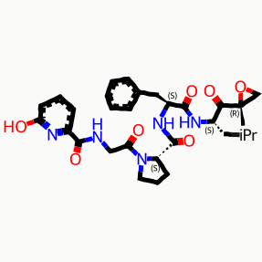 CC(C)C[C@H](NC(=O)[C@H](Cc1ccccc1)NC(=O)[C@@H]1CCCN1C(=O)CNC(=O)c1cccc(O)n1)C(=O)[C@@]1(C)CO1